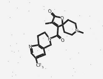 CC1=C(C(=O)N2CCc3ncc(C(F)(F)F)cc3C2)C2(CCN(C)CC2)OC1=O